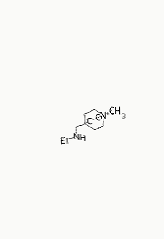 CCNCC12CC[N+](C)(CC1)CC2